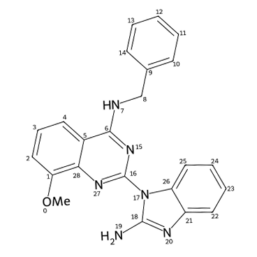 COc1cccc2c(NCc3ccccc3)nc(-n3c(N)nc4ccccc43)nc12